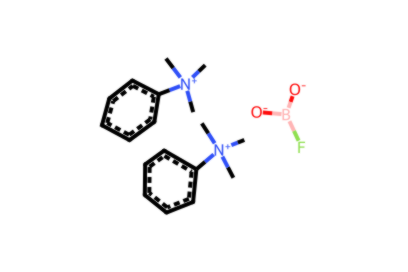 C[N+](C)(C)c1ccccc1.C[N+](C)(C)c1ccccc1.[O-]B([O-])F